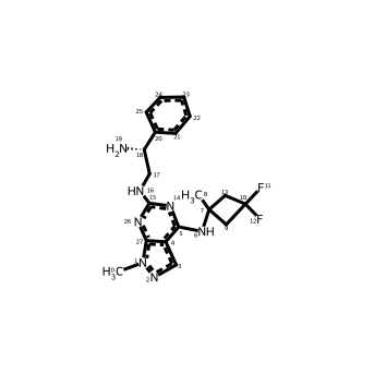 Cn1ncc2c(NC3(C)CC(F)(F)C3)nc(NC[C@H](N)c3ccccc3)nc21